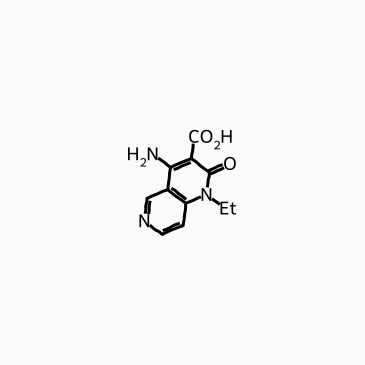 CCn1c(=O)c(C(=O)O)c(N)c2cnccc21